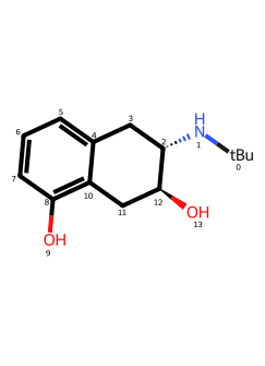 CC(C)(C)N[C@H]1Cc2cccc(O)c2C[C@@H]1O